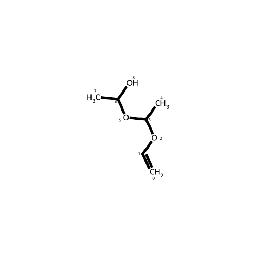 C=COC(C)OC(C)O